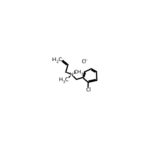 C=CC[N+](C)(C)Cc1ccccc1Cl.[Cl-]